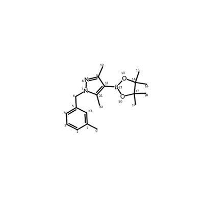 Cc1cccc(Cn2nc(C)c(B3OC(C)(C)C(C)(C)O3)c2C)c1